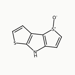 [O-][s+]1ccc2[nH]c3sccc3c21